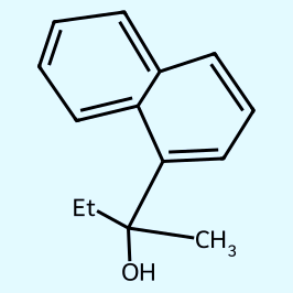 CCC(C)(O)c1cccc2ccccc12